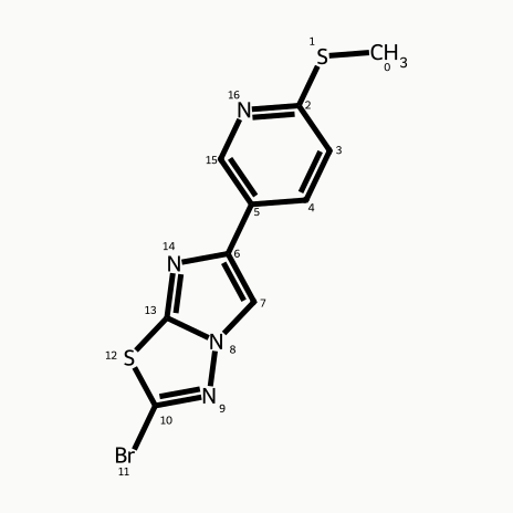 CSc1ccc(-c2cn3nc(Br)sc3n2)cn1